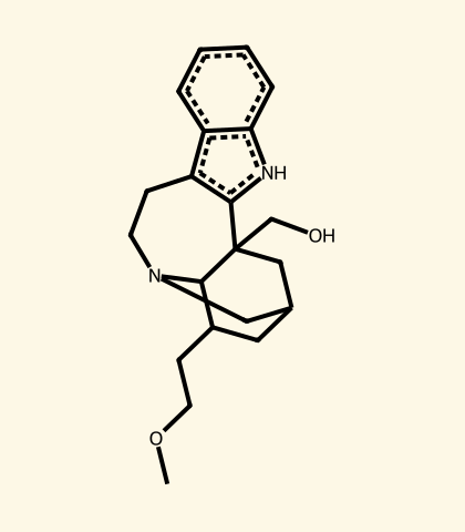 COCCC1CC2CN3CCc4c([nH]c5ccccc45)C(CO)(C2)C13